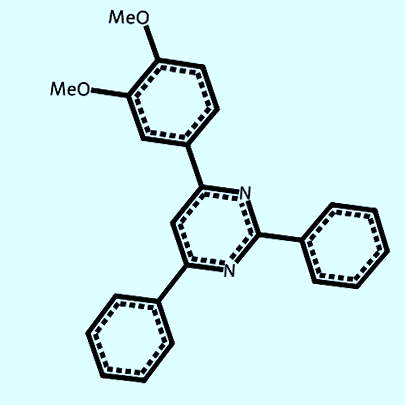 COc1ccc(-c2cc(-c3ccccc3)nc(-c3ccccc3)n2)cc1OC